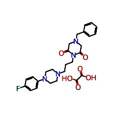 O=C(O)C(=O)O.O=C1CN(Cc2ccccc2)CC(=O)N1CCCN1CCN(c2ccc(F)cc2)CC1